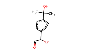 CC(C)(O)c1ccc(C(Br)C=O)cc1